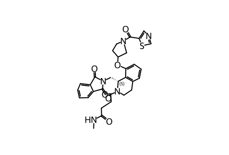 CNC(=O)CCC(=O)N1CCc2cccc(OC3CCN(C(=O)c4cncs4)C3)c2[C@H]1CN1C(=O)c2ccccc2C1=O